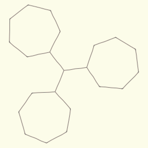 C1CCCC(C(C2CCCCCC2)C2CCCCCC2)CC1